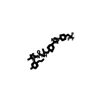 CCCc1ccc(C)cc1-n1c(C)cs/c1=N\C(=O)N/C(C)=C/c1ccc(-c2ncn(-c3ccc(CC(F)(F)F)cc3)n2)cc1